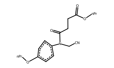 CCCOC(=O)CCC(=O)N(CC#N)c1ccc(OCCC)cc1